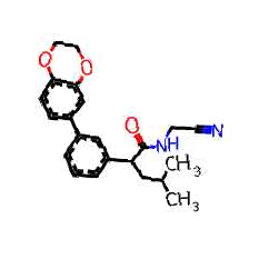 CC(C)CC(C(=O)NCC#N)c1cccc(-c2ccc3c(c2)OCCO3)c1